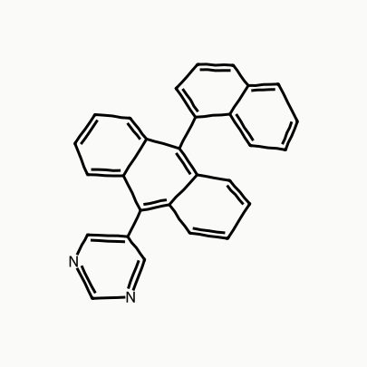 c1ccc2c(-c3c4ccccc4c(-c4cncnc4)c4ccccc34)cccc2c1